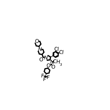 CN(C(=O)O[C@H]1CC[C@H](C(F)(F)F)CC1)[C@@H]1CN(C(=O)C2CCN(C3CCOCC3)CC2)C[C@H]1c1ccc(Cl)c(Cl)c1